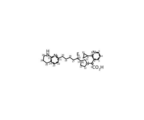 O=C(O)[C@H](c1cccnc1C1CC1)N1CC[C@@H]([C@@H](F)CCCCc2ccc3c(n2)NCCC3)C1